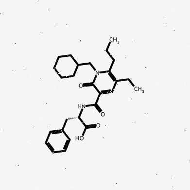 CCCc1c(CC)cc(C(=O)N[C@@H](Cc2ccccc2)C(=O)O)c(=O)n1CC1CCCCC1